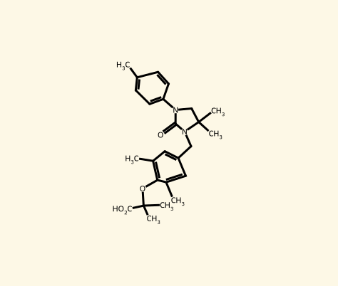 Cc1ccc(N2CC(C)(C)N(Cc3cc(C)c(OC(C)(C)C(=O)O)c(C)c3)C2=O)cc1